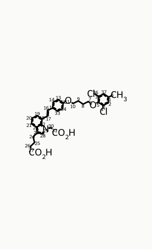 Cc1cc(Cl)c(OCCCCOc2ccc(C=Cc3cccc4c(CCCC(=O)O)cn(CC(=O)O)c34)cc2)c(Cl)c1